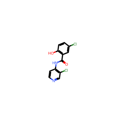 O=C(Nc1ccncc1Cl)c1cc(Cl)ccc1O